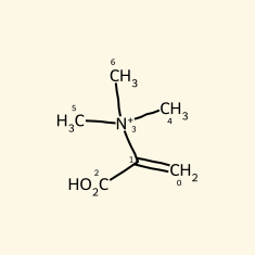 C=C(C(=O)O)[N+](C)(C)C